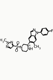 Cc1cc2c(cnn2-c2ccc(F)cc2)cc1[C@@H]1CN(S(=O)(=O)c2cnn(C)n2)CCN1